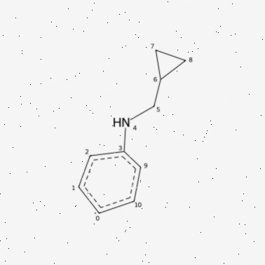 [c]1ccc(NCC2CC2)cc1